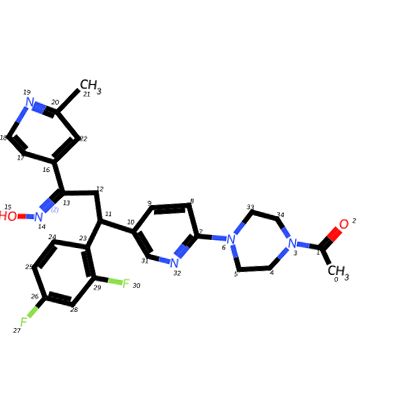 CC(=O)N1CCN(c2ccc(C(C/C(=N/O)c3ccnc(C)c3)c3ccc(F)cc3F)cn2)CC1